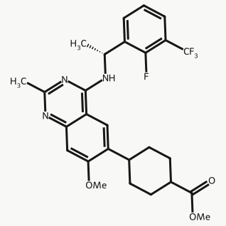 COC(=O)C1CCC(c2cc3c(N[C@H](C)c4cccc(C(F)(F)F)c4F)nc(C)nc3cc2OC)CC1